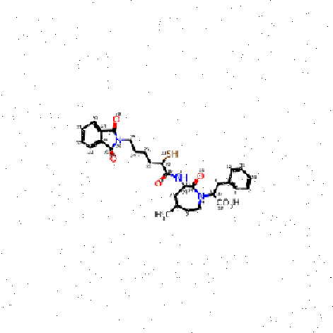 CC1CCN([C@@H](Cc2ccccc2)C(=O)O)C(=O)[C@@H](NC(=O)C(S)CCCCN2C(=O)c3ccccc3C2=O)C1